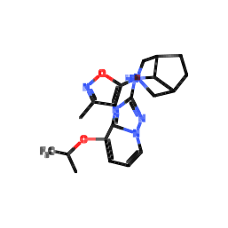 Cc1cc(N2CC3CCC(C2)C3Nc2nc3c(OC(C)C(F)(F)F)cccn3n2)on1